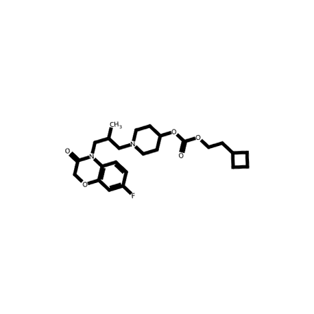 CC(CN1CCC(OC(=O)OCCC2CCC2)CC1)CN1C(=O)COc2cc(F)ccc21